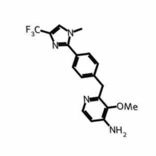 COc1c(N)ccnc1Cc1ccc(-c2nc(C(F)(F)F)cn2C)cc1